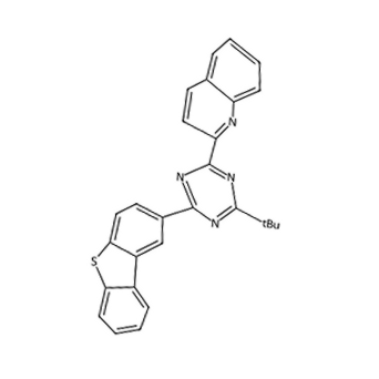 CC(C)(C)c1nc(-c2ccc3sc4ccccc4c3c2)nc(-c2ccc3ccccc3n2)n1